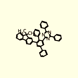 CC1(C)c2ccccc2-c2ccc(-c3cc(-c4ccccc4)cc(-c4nc(-c5ccccc5)nc(-c5ccccc5)n4)c3-c3ccccc3)cc21